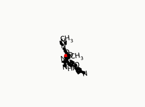 COc1cc2c(N3CCN(C(=O)Nc4ccc(C#N)cc4)CC3)c(C#N)cnc2cc1OCCCN1CCN(C)CC1